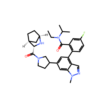 CCN(C(=O)c1cc(F)ccc1-c1cc(C2CCN(C(=O)[C@H]3N[C@@H]4CC[C@H]3C4)C2)cc2c1cnn2C)C(C)C